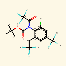 CC(C)(C)OC(=O)N(C(=O)C(F)(F)F)c1c(Cl)cc(C(F)(F)F)cc1CC(F)(F)F